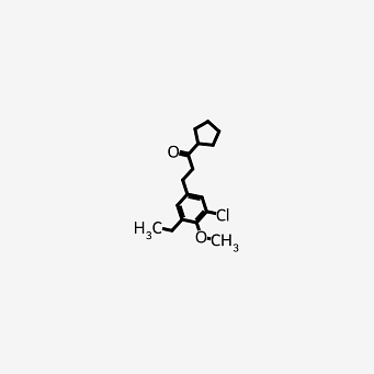 CCc1cc(CCC(=O)C2CCCC2)cc(Cl)c1OC